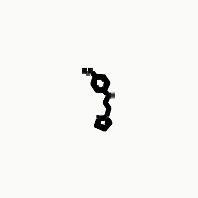 Nc1ccc(NCCn2cccn2)cc1